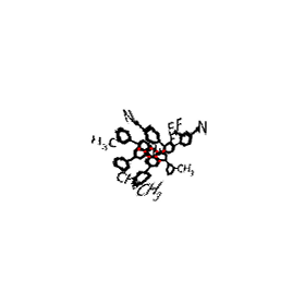 Cc1cccc(-c2ccc3c(c2)c2cc(-c4cccc(C)c4)ccc2n3-c2ccc(-c3ccc(C#N)cc3C(F)(F)F)cc2-c2ccc(C#N)cc2-n2c3ccc(-c4cccc(C)c4)cc3c3cc(-c4cccc(C)c4)ccc32)c1